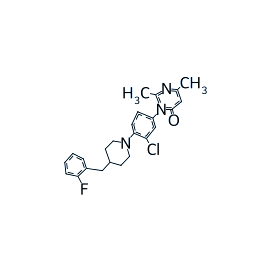 Cc1cc(=O)n(-c2ccc(N3CCC(Cc4ccccc4F)CC3)c(Cl)c2)c(C)n1